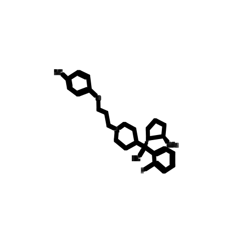 CC(=O)O[C@@H]1CCC[C@H]1C(C#N)(c1ccccc1F)C1CCN(CCCOc2ccc(C#N)cc2)CC1